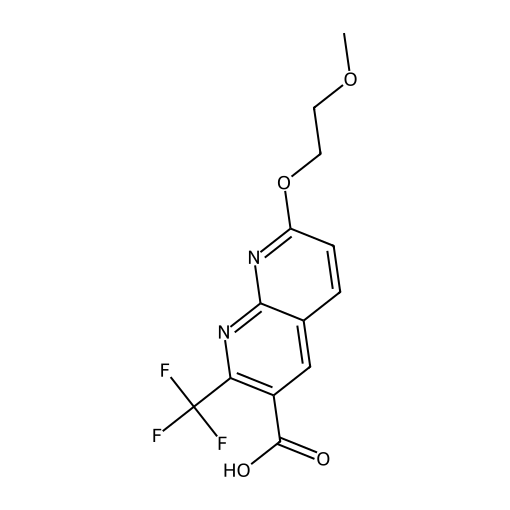 COCCOc1ccc2cc(C(=O)O)c(C(F)(F)F)nc2n1